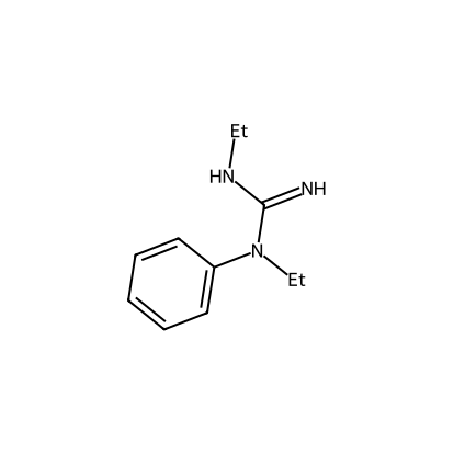 CCNC(=N)N(CC)c1ccccc1